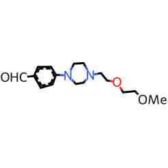 COCCOCCN1CCN(c2ccc(C=O)cc2)CC1